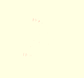 C=CCC(c1ccc(O)cc1)c1ccc(O)cc1